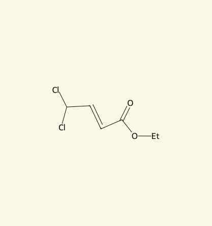 CCOC(=O)/C=C/C(Cl)Cl